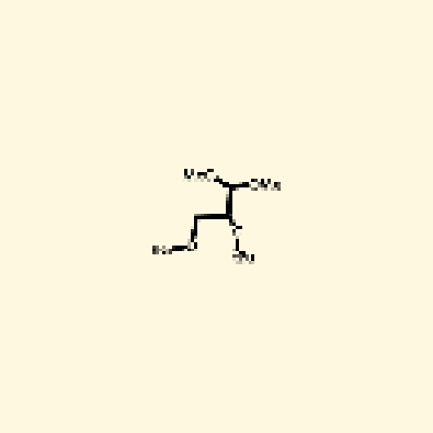 COC(OC)C(COC(C)(C)C)OC(C)(C)C